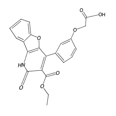 CCOC(=O)c1c(-c2cccc(OCC(=O)O)c2)c2oc3ccccc3c2[nH]c1=O